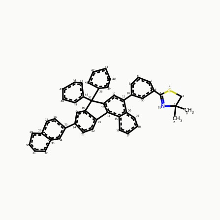 CC1(C)CSC(c2cccc(-c3cc4c(c5ccccc35)-c3ccc(-c5ccc6ccccc6c5)cc3C4(c3ccccc3)c3ccccc3)c2)=N1